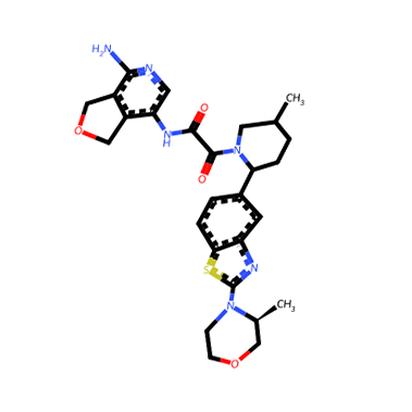 CC1CCC(c2ccc3sc(N4CCOC[C@@H]4C)nc3c2)N(C(=O)C(=O)Nc2cnc(N)c3c2COC3)C1